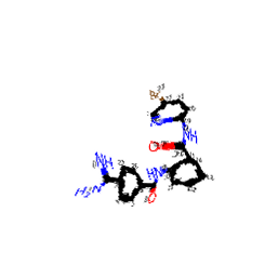 N=C(N)c1ccc(C(=O)Nc2ccccc2C(=O)Nc2ccc(Br)cn2)cc1